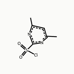 Cc1cc(C)nc(S(=O)(=O)Cl)n1